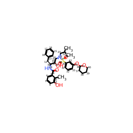 Cc1c(O)cccc1C(=O)N[C@@H](Cc1ccccc1)[C@H](O)CN(CC(C)C)S(=O)(=O)c1cccc(OC2CCCCO2)c1